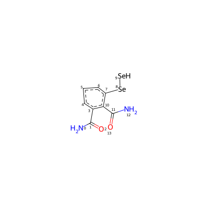 NC(=O)c1cccc([Se][SeH])c1C(N)=O